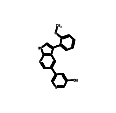 COc1ccccc1-c1c[nH]c2ncc(-c3cncc(O)c3)cc12